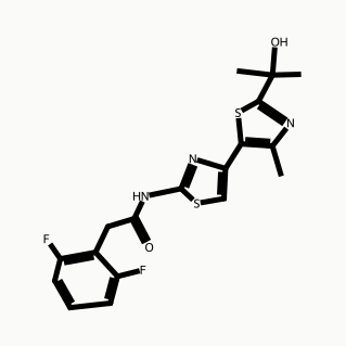 Cc1nc(C(C)(C)O)sc1-c1csc(NC(=O)Cc2c(F)cccc2F)n1